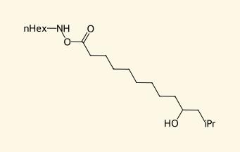 CCCCCCNOC(=O)CCCCCCCCC(O)CC(C)C